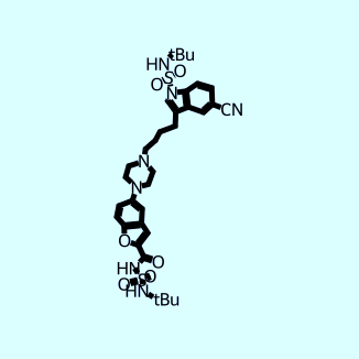 CC(C)(C)NS(=O)(=O)NC(=O)c1cc2cc(N3CCN(CCCCc4cn(S(=O)(=O)NC(C)(C)C)c5ccc(C#N)cc45)CC3)ccc2o1